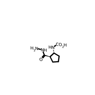 NNC(=O)[C@@H]1CCC[C@H]1NC(=O)O